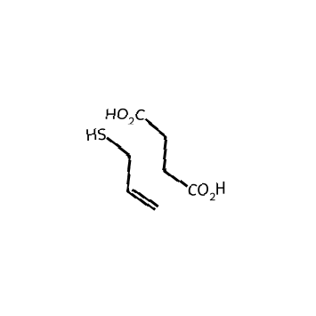 C=CCS.O=C(O)CCC(=O)O